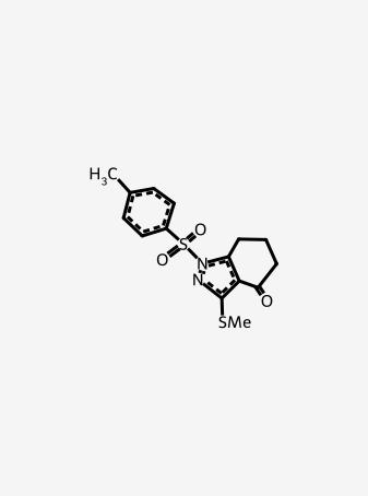 CSc1nn(S(=O)(=O)c2ccc(C)cc2)c2c1C(=O)CCC2